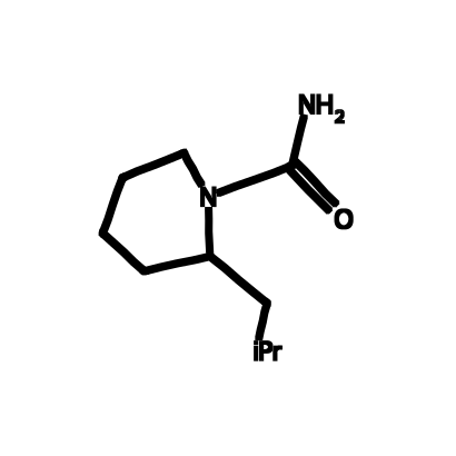 CC(C)CC1CCCCN1C(N)=O